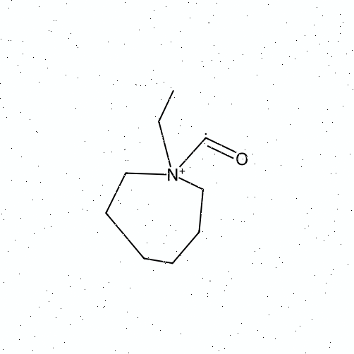 CC[N+]1([C]=O)CCCCCC1